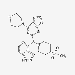 CS(=O)(=O)C1CCN(C(c2nc(N3CCOCC3)c3ccsc3n2)c2cccc3[nH]ncc23)CC1